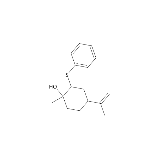 C=C(C)C1CCC(C)(O)C(Sc2ccccc2)C1